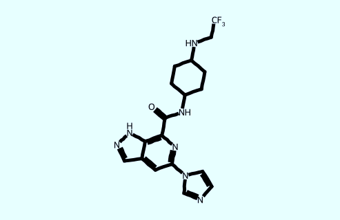 O=C(NC1CCC(NCC(F)(F)F)CC1)c1nc(-n2ccnc2)cc2cn[nH]c12